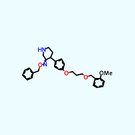 COc1ccccc1COCCCOc1ccc(C2CCNCC2=NOCc2ccccc2)cc1